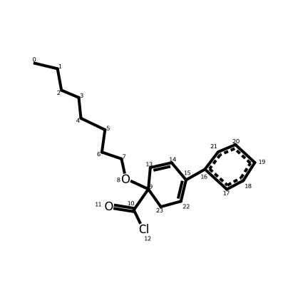 CCCCCCCCOC1(C(=O)Cl)C=CC(c2ccccc2)=CC1